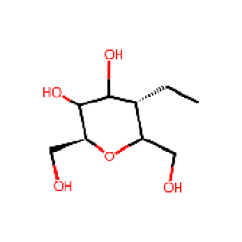 CC[C@@H]1C(CO)O[C@@H](CO)C(O)C1O